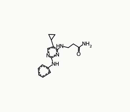 NC(=O)CCNc1nc(Nc2ccccc2)ncc1C1CC1